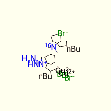 CCCCC(C)CC1([16N+](C)(C)NN)CCCCC1.CCCCC(C)CC1([16N](C)C)CCCCC1.[Br-].[Br-].[Br-].[Br-].[Cu+2].[Cu+2]